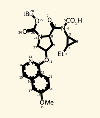 CCC1CC1N(C(=O)O)C(=O)C1CC(Oc2nccc3cc(OC)ccc23)CN1C(=O)OC(C)(C)C